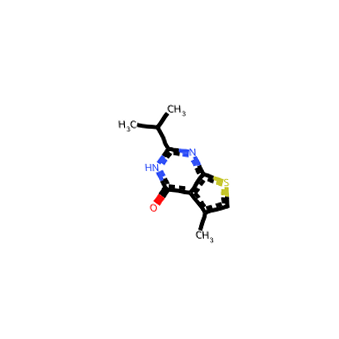 Cc1csc2nc(C(C)C)[nH]c(=O)c12